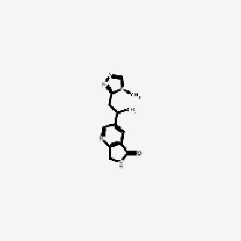 CC(Cc1nncn1C)c1cnc2c(c1)C(=O)NC2